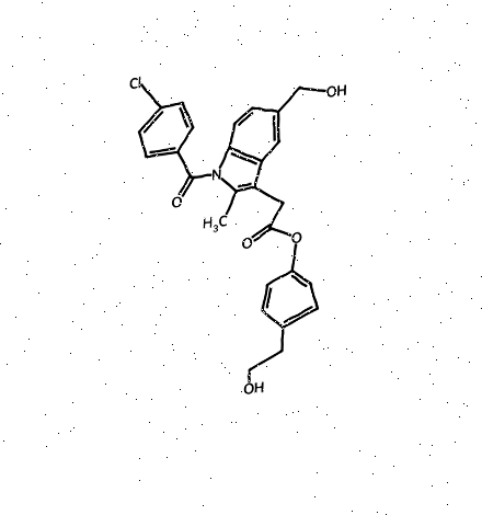 Cc1c(CC(=O)Oc2ccc(CCO)cc2)c2cc(CO)ccc2n1C(=O)c1ccc(Cl)cc1